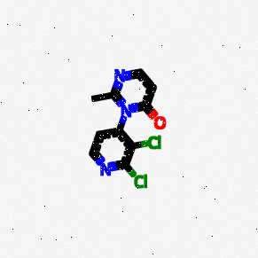 Cc1nccc(=O)n1-c1ccnc(Cl)c1Cl